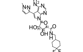 Cn1ccc(-c2cn([C@@H]3O[C@H](C(=O)NCC4CCC(F)(F)CC4)[C@@H](O)[C@H]3O)c3ncnc(N)c23)n1